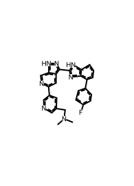 CN(C)Cc1cncc(-c2cc3c(-c4nc5c(-c6ccc(F)cc6)cccc5[nH]4)n[nH]c3cn2)c1